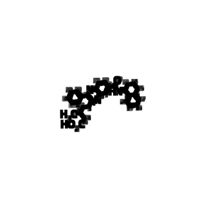 C[C@@H](CCc1nc2cc(C(=O)N[C@@H]3CCCc4ccccc43)ccc2nc1-c1ccccc1)CC(=O)O